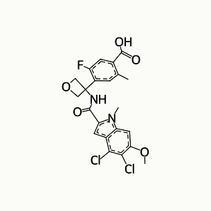 COc1cc2c(cc(C(=O)NC3(c4cc(C)c(C(=O)O)cc4F)COC3)n2C)c(Cl)c1Cl